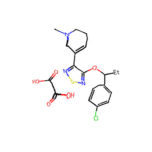 CCC(Oc1nsnc1C1=CCCN(C)C1)c1ccc(Cl)cc1.O=C(O)C(=O)O